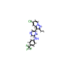 CCc1nn2ccc(Cl)cc2c1-c1cncc(Nc2ccc(C(F)(F)F)cc2)n1